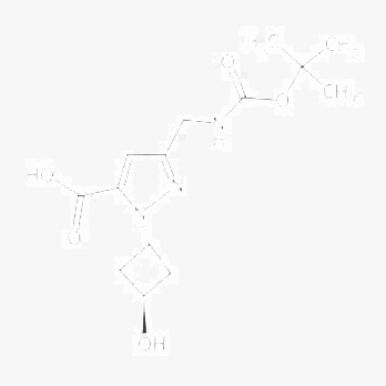 CC(C)(C)OC(=O)NCc1cc(C(=O)O)n([C@H]2C[C@H](O)C2)n1